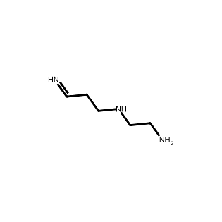 N=CCCNCCN